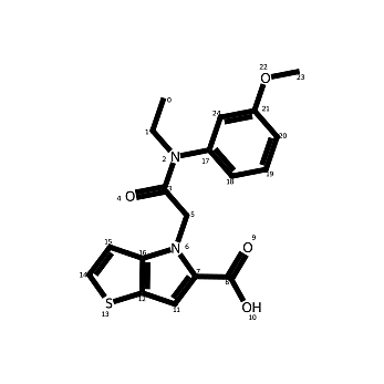 CCN(C(=O)Cn1c(C(=O)O)cc2sccc21)c1cccc(OC)c1